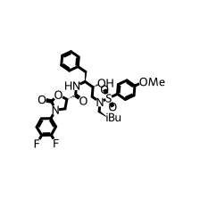 CC[C@H](C)CN(C[C@@H](O)[C@H](Cc1ccccc1)NC(=O)[C@@H]1CN(c2ccc(F)c(F)c2)C(=O)O1)S(=O)(=O)c1ccc(OC)cc1